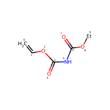 C=COC(=O)NC(=O)OCC